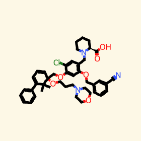 CC1(C)C(c2ccccc2)=CC=CC1(COc1cc(OCc2cccc(C#N)c2)c(CN2CCCC[C@H]2C(=O)O)cc1Cl)OCCCN1CCOCC1